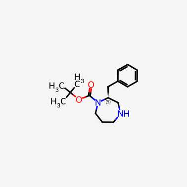 CC(C)(C)OC(=O)N1CCCNC[C@@H]1Cc1ccccc1